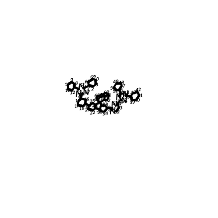 c1ccc(-c2nc(-c3ccccc3)nc(-c3cccc(-c4ccc5c(c4)C4(c6cc(-c7nccc(-c8nc(-c9ccccc9)nc(-c9ccccc9)n8)n7)ccc6-5)C5CC6CC(C5)CC4C6)c3)n2)cc1